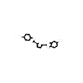 Nc1ccc2nc(-c3ccc(-c4nc5ccc(N)cc5o4)s3)oc2c1